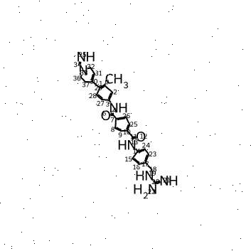 Cc1cc(NC(=O)c2ccc(C(=O)Nc3ccc(CNC(=N)N)cc3)cc2)ccc1C1=CCN(C=N)CC1